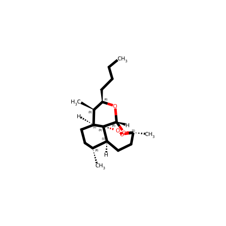 CCCC[C@H]1O[C@@H]2O[C@]3(C)CC[C@H]4[C@H](C)CC[C@@H]([C@H]1C)[C@@]24OO3